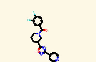 O=C(c1ccc(F)c(F)c1)N1CCCC(c2nc(-c3ccncc3)no2)C1